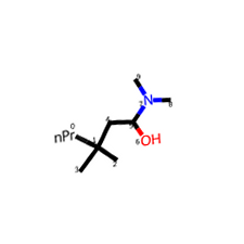 CCCC(C)(C)CC(O)N(C)C